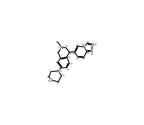 CN1Cc2cc(N3CCOCC3)ccc2C(c2ccc3nncn3c2)C1